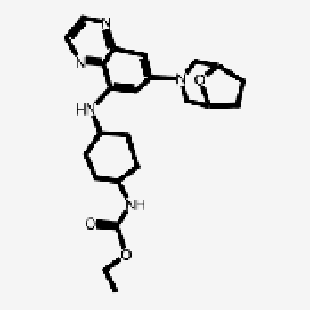 CCOC(=O)NC1CCC(Nc2cc(N3CC4CCC(C3)O4)cc3nccnc23)CC1